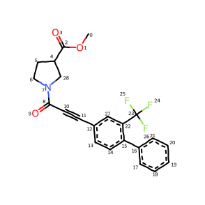 COC(=O)C1CCN(C(=O)C#Cc2ccc(-c3ccccc3)c(C(F)(F)F)c2)C1